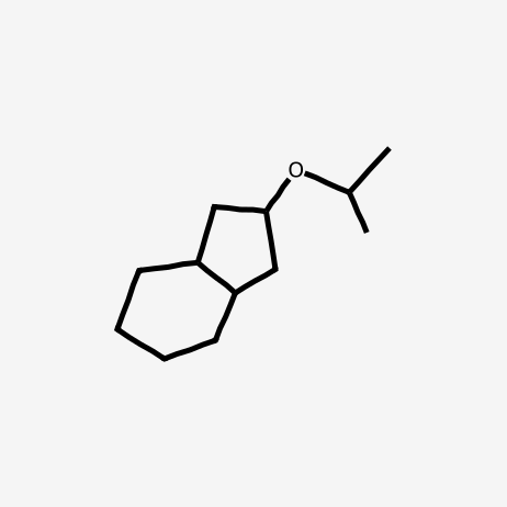 CC(C)OC1CC2CCCCC2C1